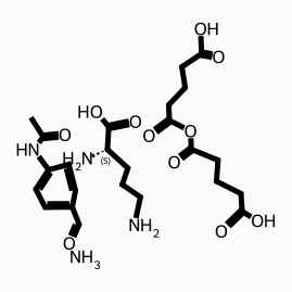 CC(=O)Nc1ccc(C=O)cc1.N.NCCC[C@H](N)C(=O)O.O=C(O)CCCC(=O)OC(=O)CCCC(=O)O